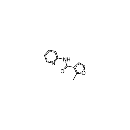 Cc1occc1C(=O)Nc1ccccn1